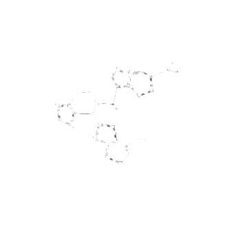 COc1cccn2nc(C3c4nc[nH]c4CCN3C(=O)c3cnn4cc(C5CC5)ccc34)cc12